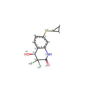 O=C1Nc2cc(SC3CC3)ccc2[C@H](O)C1(F)F